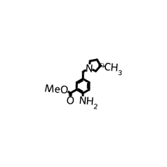 COC(=O)c1cc(CN2CC[C@H](C)C2)ccc1N